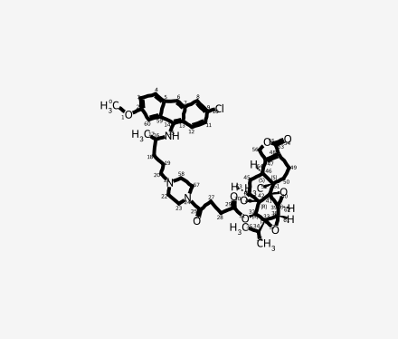 COc1ccc2cc3cc(Cl)ccc3c(NC(C)CCCN3CCN(C(=O)CCC(=O)O[C@@H]4[C@@]5(C(C)C)O[C@H]5[C@@H]5O[C@]56[C@]45O[C@H]5C[C@H]4C5=C(CC[C@@]46C)C(=O)OC5)CC3)c2c1